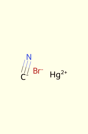 [Br-].[C-]#N.[Hg+2]